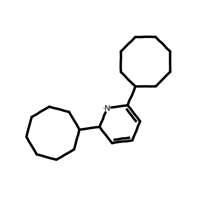 C1=CC(C2CCCCCCC2)[N]C(C2CCCCCCC2)=C1